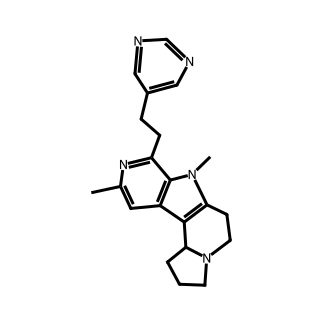 Cc1cc2c3c(n(C)c2c(CCc2cncnc2)n1)CCN1CCCC31